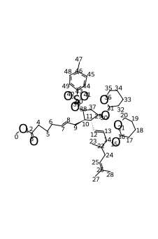 COC(=O)CCCC=CC[C@@H]1[C@@H](C=C[C@H](OC2CCCCO2)C(C)CC=C(C)C)[C@H](OC2CCCCO2)C[C@@H]1OS(=O)(=O)c1ccc(C)cc1